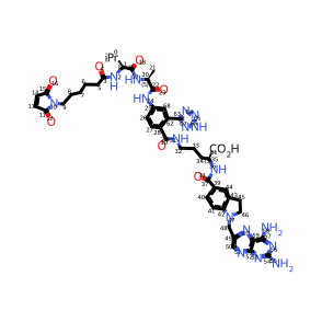 CC(C)[C@H](NC(=O)CCCCCN1C(=O)C=CC1=O)C(=O)N[C@@H](C)C(=O)Nc1ccc(C(=O)NCCC[C@H](NC(=O)c2ccc3c(c2)CCN3Cc2cnc3nc(N)nc(N)c3n2)C(=O)O)c(-c2nn[nH]n2)c1